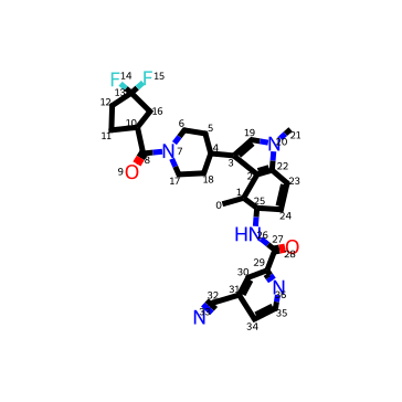 CC1c2c(C3CCN(C(=O)C4CCC(F)(F)C4)CC3)cn(C)c2C=CC1NC(=O)c1cc(C#N)ccn1